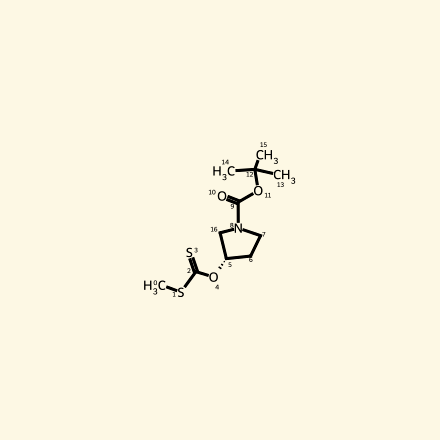 CSC(=S)O[C@H]1CCN(C(=O)OC(C)(C)C)C1